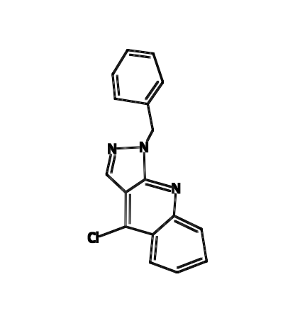 Clc1c2ccccc2nc2c1cnn2Cc1ccccc1